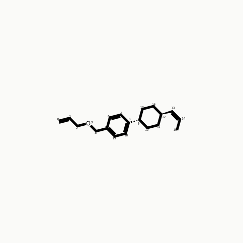 C=CCOCc1ccc([C@H]2CC[C@H](/C=C\C)CC2)cc1